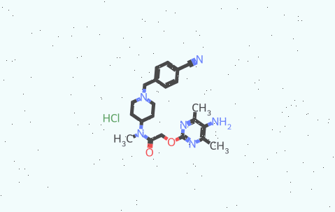 Cc1nc(OCC(=O)N(C)C2CCN(Cc3ccc(C#N)cc3)CC2)nc(C)c1N.Cl